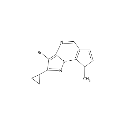 CC1C=Cc2cnc3c(Br)c(C4CC4)nn3c21